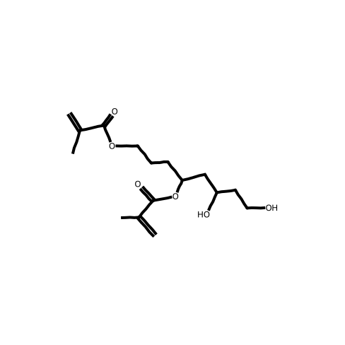 C=C(C)C(=O)OCCCC(CC(O)CCO)OC(=O)C(=C)C